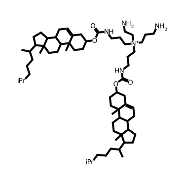 CC(C)CCCC(C)C1CCC2C3CC=C4CC(OC(=O)NCCC[N+](CCN)(CCCN)CCCNC(=O)OC5CCC6(C)C(=CCC7C6CCC6(C)C(C(C)CCCC(C)C)CCC76)C5)CCC4(C)C3CCC12C